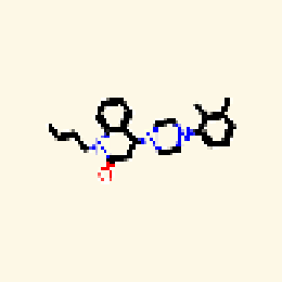 CC=CCN1C(=O)CC(N2CCN(c3cccc(C)c3C)CC2)c2ccccc21